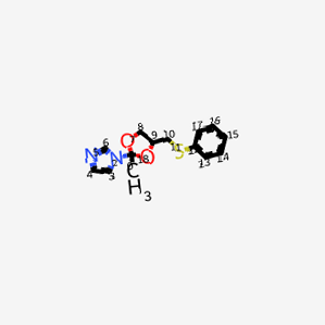 CC1(n2ccnc2)OCC(CSc2ccccc2)O1